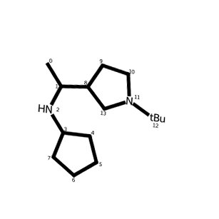 CC(NC1CCCC1)C1CCN(C(C)(C)C)C1